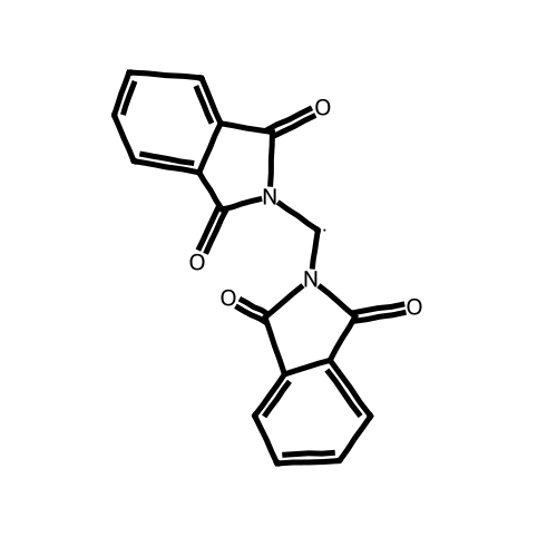 O=C1c2ccccc2C(=O)N1[CH]N1C(=O)c2ccccc2C1=O